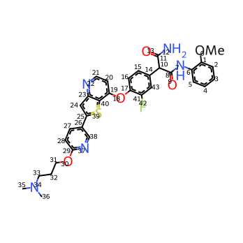 COc1ccccc1NC(=O)C(C(N)=O)c1ccc(Oc2ccnc3cc(-c4ccc(OCCCN(C)C)nc4)sc23)c(F)c1